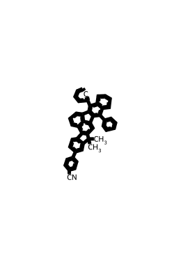 CC1(C)c2cc(-c3ccc(C#N)cc3)ccc2-c2c1cc1c3c(cccc23)-c2c-1c(-c1ccccc1)c1ccccc1c2-c1ccccc1